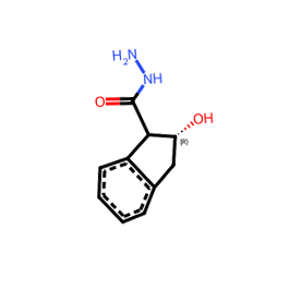 NNC(=O)C1c2ccccc2C[C@H]1O